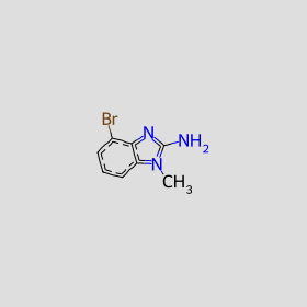 Cn1c(N)nc2c(Br)cccc21